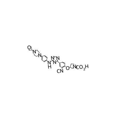 N#Cc1cc(-c2ncnc(Nc3ccc(N4CCN(C5COC5)CC4)cc3)n2)ccc1OC1CCN(C(=O)O)C1